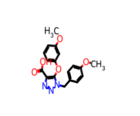 COc1ccc(Cn2nnc(C(=O)O)c2Oc2cccc(OC)c2)cc1